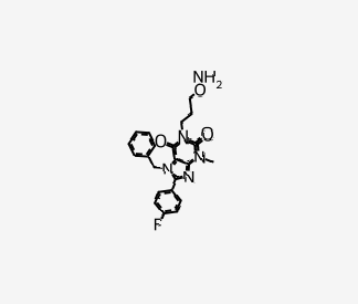 Cn1c(=O)n(CCCON)c(=O)c2c1nc(-c1ccc(F)cc1)n2Cc1ccccc1